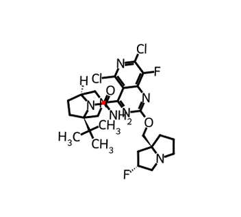 CC(C)(C)[C@]12CC[C@@H](CN(c3nc(OC[C@@]45CCCN4C[C@H](F)C5)nc4c(F)c(Cl)nc(Cl)c34)C1)N2C(N)=O